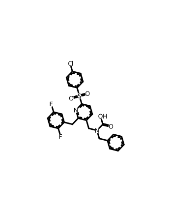 O=C(O)N(Cc1ccccc1)Cc1ccc(S(=O)(=O)c2ccc(Cl)cc2)nc1Cc1cc(F)ccc1F